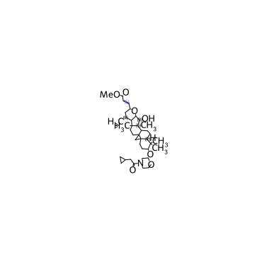 COC(=O)/C=C/C1C[C@@H](C)C2C(O1)[C@H](O)[C@@]1(C)C3CC[C@H]4C(C)(C)C(OC5CN(C(=O)CC6CC6)CCO5)CCC45CC35CCC21C